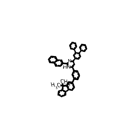 CC1(C)c2ccccc2-c2ccc(-c3cccc(C4=CC(c5ccc(-c6ccccc6)c(-c6ccccc6)c5)=NC(c5ccc6ccccc6c5)N4)c3)cc21